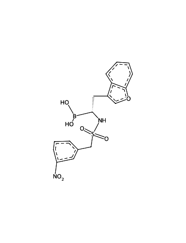 O=[N+]([O-])c1cccc(CS(=O)(=O)N[C@@H](Cc2coc3ccccc23)B(O)O)c1